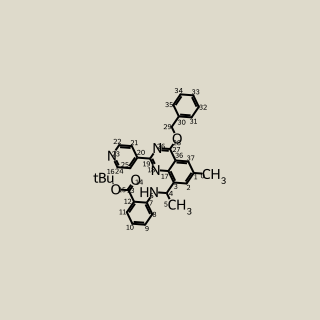 Cc1cc(C(C)Nc2ccccc2C(=O)OC(C)(C)C)c2nc(-c3ccncc3)nc(OCc3ccccc3)c2c1